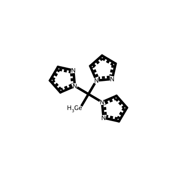 [GeH3][C](n1cccn1)(n1cccn1)n1cccn1